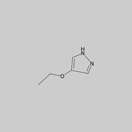 CCOc1cn[nH]c1